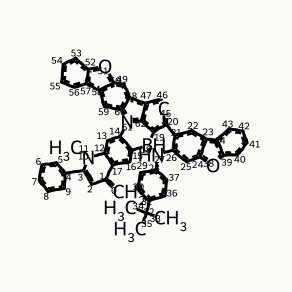 C=C1C=C(c2ccccc2)N(C)c2cc3c(cc21)Bc1c(-c2cc4c(cc2Nc2ccc(C(C)(C)C)cc2)oc2ccccc24)ccc2c4cc5oc6ccccc6c5cc4n-3c12